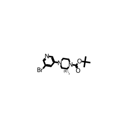 C[C@@H]1CN(c2cncc(Br)c2)CCN1C(=O)OC(C)(C)C